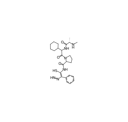 CN[C@@H](C)C(=O)NC(C(=O)N1CCCC1C(=O)N/C(S)=C(/N=N)c1ccccc1)C1CCCCC1